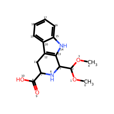 COC(OC)C1NC(C(=O)O)Cc2c1[nH]c1ccccc21